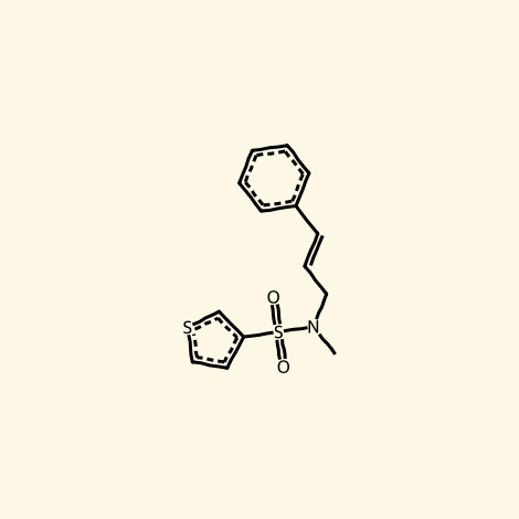 CN(CC=Cc1ccccc1)S(=O)(=O)c1ccsc1